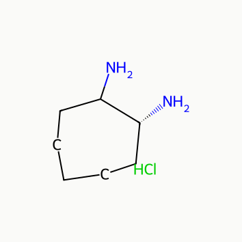 Cl.NC1CCCCC[C@H]1N